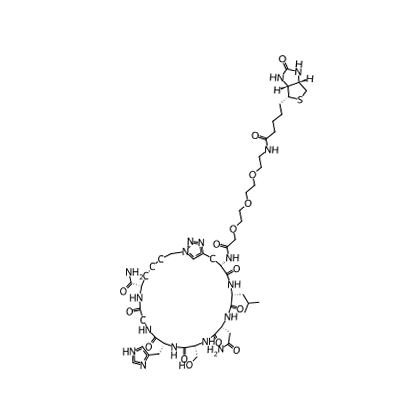 CC(C)C[C@H]1NC(=O)[C@@H](NC(=O)COCCOCCOCCNC(=O)CCCC[C@H]2SC[C@H]3NC(=O)N[C@H]32)Cc2cn(nn2)CCCC[C@@H](C(N)=O)NC(=O)CNC(=O)[C@@H](Cc2c[nH]cn2)NC(=O)[C@@H](CO)NC(=O)[C@@H](CC(N)=O)NC1=O